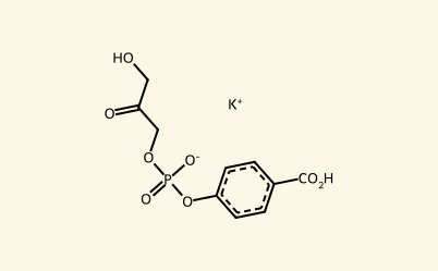 O=C(CO)COP(=O)([O-])Oc1ccc(C(=O)O)cc1.[K+]